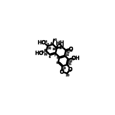 C[C@@H]1[C@H](O)[C@@H](O)C=C2c3cc4c(c(O)c3C(=O)N[C@H]21)OCO4